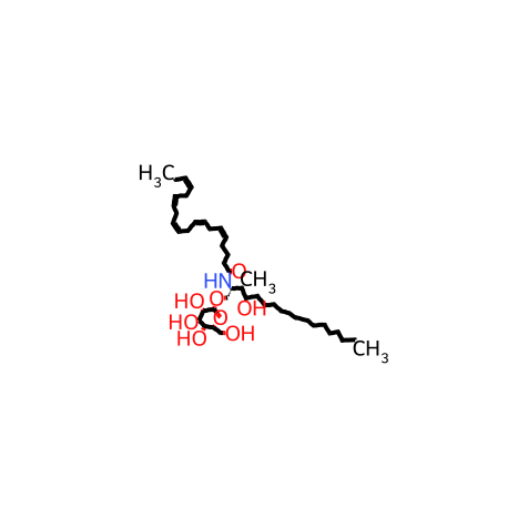 CC/C=C\C/C=C\C/C=C\C/C=C\C/C=C\CCCC(=O)N[C@@H](COC1OC(CO)C(O)C(O)C1O)[C@H](C)[C@H](O)CCCCCCCCCCCCCC